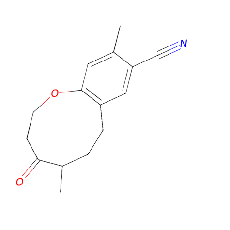 Cc1cc2c(cc1C#N)CCC(C)C(=O)CCO2